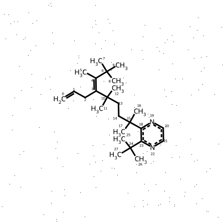 C=CC/C(=C(\C)C(C)(C)C)C(C)(C)CCC(C)(C)c1nccnc1C(C)(C)C